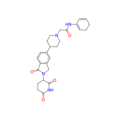 O=C1CCC(N2Cc3cc(C4CCN(CC(=O)NC5=CCCC=C5)CC4)ccc3C2=O)C(=O)N1